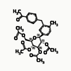 CC(=O)OC[C@H]1O[C@@H](c2ccc(C)c(Cc3ccc(C(C)=O)cc3)c2)[C@H](OC(C)=O)[C@@H](OC(C)=O)[C@@H]1OC(C)=O